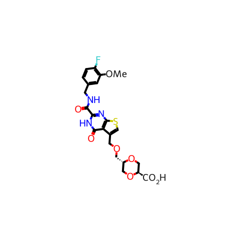 COc1cc(CNC(=O)c2nc3scc(COC[C@H]4CO[C@H](C(=O)O)CO4)c3c(=O)[nH]2)ccc1F